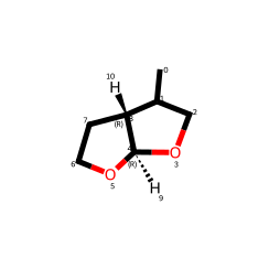 CC1CO[C@H]2OCC[C@H]12